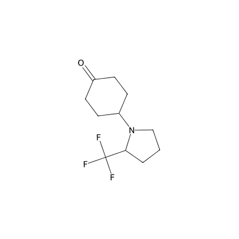 O=C1CCC(N2CCCC2C(F)(F)F)CC1